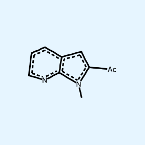 CC(=O)c1cc2cccnc2n1C